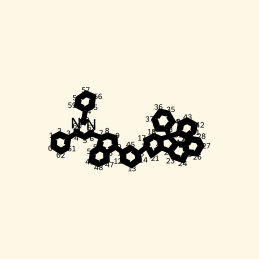 c1ccc(-c2cc(-c3ccc(-c4cccc(-c5ccc6c(c5)-c5ccc7ccccc7c5C6(c5ccccc5)c5ccccc5)c4)c4ccccc34)nc(-c3ccccc3)n2)cc1